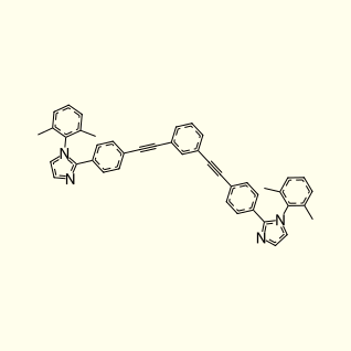 Cc1cccc(C)c1-n1ccnc1-c1ccc(C#Cc2cccc(C#Cc3ccc(-c4nccn4-c4c(C)cccc4C)cc3)c2)cc1